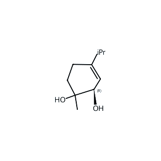 CC(C)C1=C[C@@H](O)C(C)(O)CC1